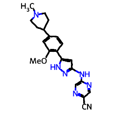 COc1cc(C2CCN(C)CC2)ccc1-c1cc(Nc2cnc(C#N)cn2)n[nH]1